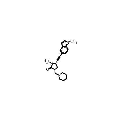 CN1C(=O)[C@H](CN2CCCCC2)C[C@@H]1C#Cc1ccc2c(ccn2C)c1